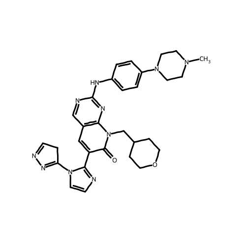 CN1CCN(c2ccc(Nc3ncc4cc(-c5nccn5C5=NN=CC5)c(=O)n(CC5CCOCC5)c4n3)cc2)CC1